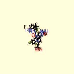 C=C1[C@@H]2C(C(=N)C(F)(F)F)=C(NCC(=O)NC(Cc3cc(F)cc(F)c3)c3nc(C#CC(C)(C)O)ccc3-c3ccc4n[nH]c(=O)n4c3)C(F)(F)[C@H]12